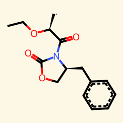 [CH2][C@H](OCC)C(=O)N1C(=O)OC[C@@H]1Cc1ccccc1